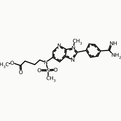 COC(=O)CCCN(c1cnc2c(c1)nc(-c1ccc(C(=N)N)cc1)n2C)S(C)(=O)=O